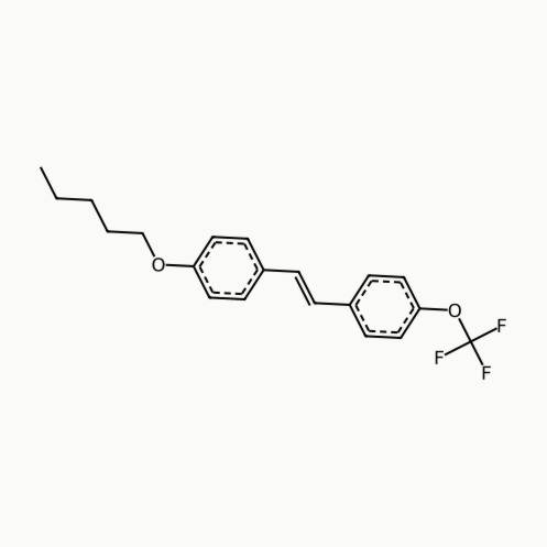 CCCCCOc1ccc(C=Cc2ccc(OC(F)(F)F)cc2)cc1